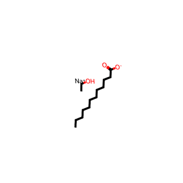 CCCCCCCCCCCC(=O)[O-].CCO.[Na+]